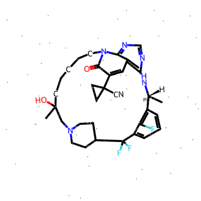 C[C@H]1Nc2ncnc3c2cc(C2(C#N)CC2)c(=O)n3CCCCCC(C)(O)CN2CCC(CC2)C(F)(F)c2cccc1c2F